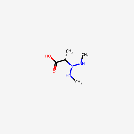 CNN(NC)[C@@H](C)C(=O)O